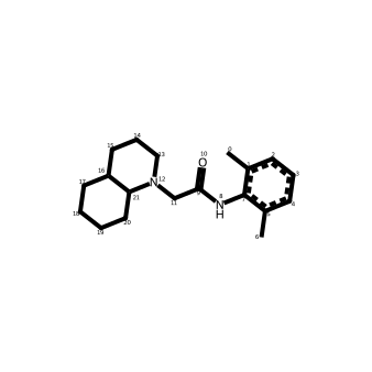 Cc1cccc(C)c1NC(=O)CN1CCCC2CCCCC21